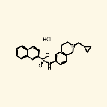 Cl.O=S(=O)(Nc1ccc2c(c1)CCN(CC1CC1)C2)c1ccc2ccccc2c1